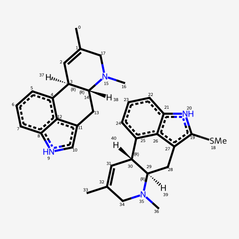 CC1=C[C@@H]2c3cccc4[nH]cc(c34)C[C@H]2N(C)C1.CSc1[nH]c2cccc3c2c1C[C@@H]1[C@@H]3C=C(C)CN1C